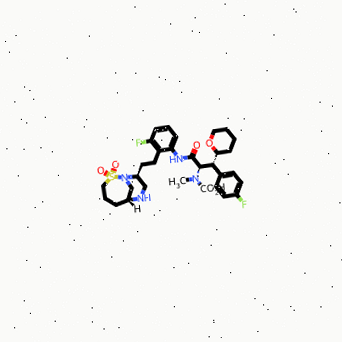 CN(C(=O)O)[C@H](C(=O)Nc1cccc(F)c1CC[C@H]1CN[C@@H]2CCCS(=O)(=O)N1C2)[C@@H](c1ccc(F)cc1)C1CCCCO1